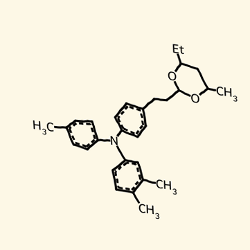 CCC1CC(C)OC(CCc2ccc(N(c3ccc(C)cc3)c3ccc(C)c(C)c3)cc2)O1